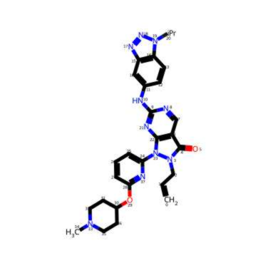 C=CCn1c(=O)c2cnc(Nc3ccc4c(c3)nnn4C(C)C)nc2n1-c1cccc(OC2CCN(C)CC2)n1